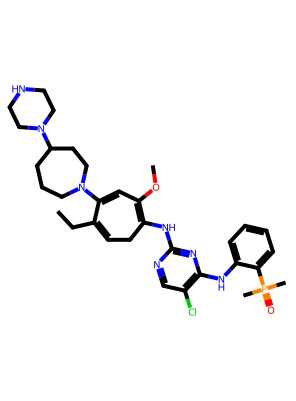 CCC1=CCC(Nc2ncc(Cl)c(Nc3ccccc3P(C)(C)=O)n2)=C(OC)C=C1N1CCCC(N2CCNCC2)CC1